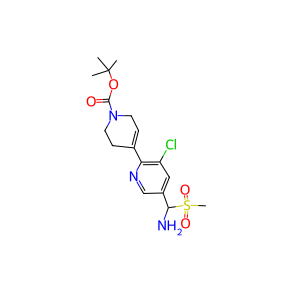 CC(C)(C)OC(=O)N1CC=C(c2ncc(C(N)S(C)(=O)=O)cc2Cl)CC1